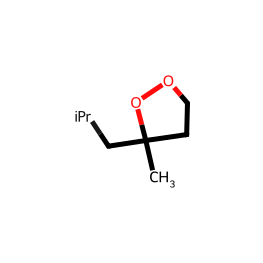 CC(C)CC1(C)CCOO1